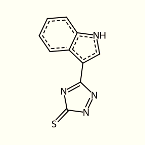 S=C1N=NC(c2c[nH]c3ccccc23)=N1